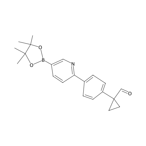 CC1(C)OB(c2ccc(-c3ccc(C4(C=O)CC4)cc3)nc2)OC1(C)C